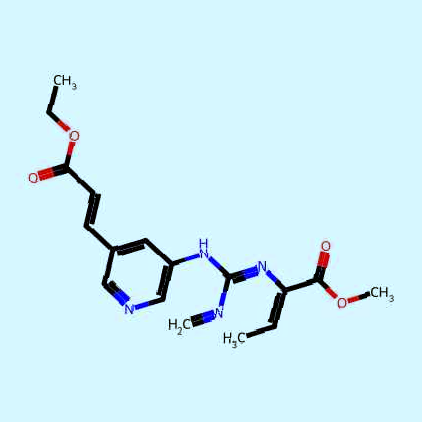 C=N/C(=N\C(=C/C)C(=O)OC)Nc1cncc(/C=C/C(=O)OCC)c1